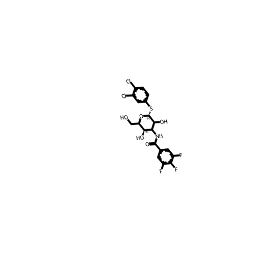 O=C(NC1C(O)[C@@H](Sc2ccc(Cl)c(Cl)c2)OC(CO)[C@@H]1O)c1cc(F)c(F)c(F)c1